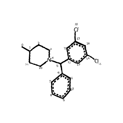 CC1CCN(C(c2ccccc2)c2cc(Cl)cc(Cl)c2)CC1